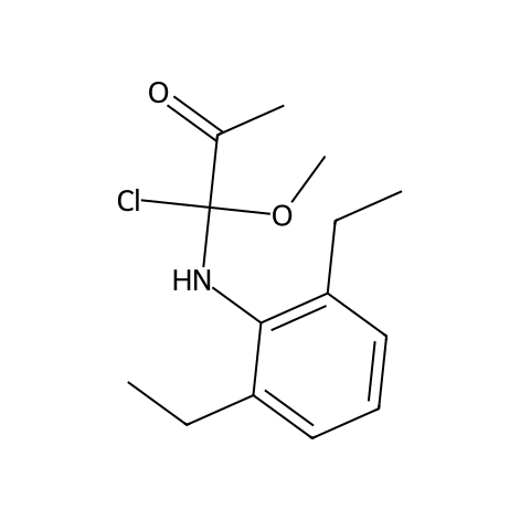 CCc1cccc(CC)c1NC(Cl)(OC)C(C)=O